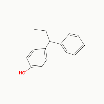 CCC(c1ccccc1)c1ccc(O)cc1